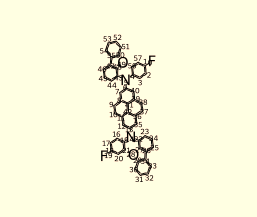 Fc1ccc(N(c2cc3ccc4cc(N(c5ccc(F)cc5)c5cccc6c5oc5ccccc56)cc5ccc(c2)c3c45)c2cccc3c2oc2ccccc23)cc1